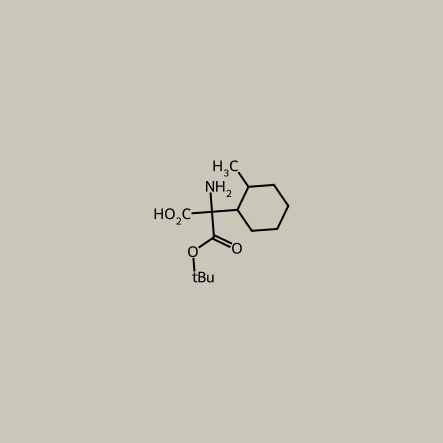 CC1CCCCC1C(N)(C(=O)O)C(=O)OC(C)(C)C